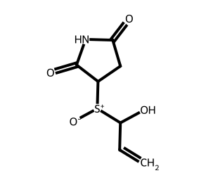 C=CC(O)[S+]([O-])C1CC(=O)NC1=O